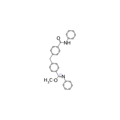 CO/C(=N\c1ccccc1)c1ccc(Cc2ccc(C(=O)Nc3ccccc3)cc2)cc1